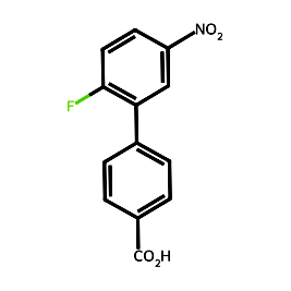 O=C(O)c1ccc(-c2cc([N+](=O)[O-])ccc2F)cc1